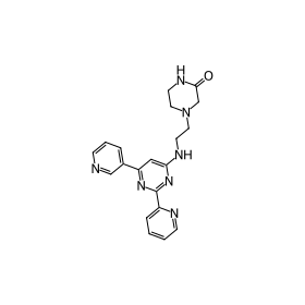 O=C1CN(CCNc2cc(-c3cccnc3)nc(-c3ccccn3)n2)CCN1